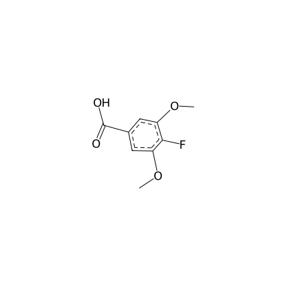 COc1cc(C(=O)O)cc(OC)c1F